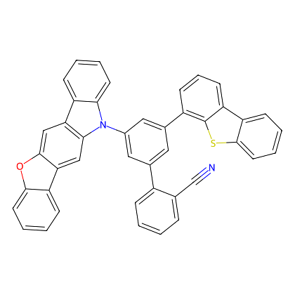 N#Cc1ccccc1-c1cc(-c2cccc3c2sc2ccccc23)cc(-n2c3ccccc3c3cc4oc5ccccc5c4cc32)c1